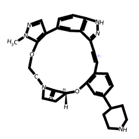 Cn1ncc2c1OCCN1CC[C@@H](Oc3cc(C4CCNCC4)ccc3/C=C/c3n[nH]c4ccc-2cc34)C1=O